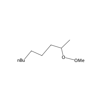 CCCCCCCC(C)OOC